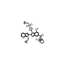 COc1cc(C(=O)N2CC3CCC2[C@@H]3N)cc2nc(-c3cc4cccnc4n3CC3CC3)n(C3CN(S(=O)(=O)CC4CC4)C3)c12